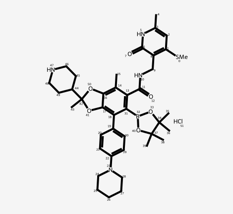 CSc1cc(C)[nH]c(=O)c1CNC(=O)c1c(C)c2c(c(-c3ccc(N4CCCCC4)cc3)c1B1OC(C)(C)C(C)(C)O1)OC(C)(C1CCNCC1)O2.Cl